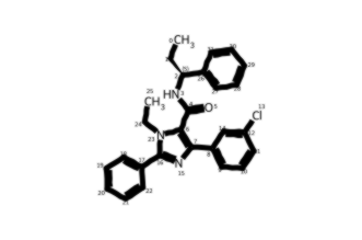 CC[C@H](NC(=O)c1c(-c2cccc(Cl)c2)nc(-c2ccccc2)n1CC)c1ccccc1